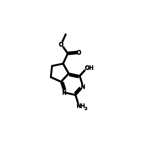 COC(=O)C1CCc2nc(N)nc(O)c21